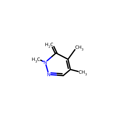 C=C1C(C)=C(C)C=NN1C